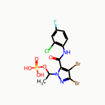 CC(OP(=O)(O)O)n1nc(Br)c(Br)c1C(=O)Nc1ccc(F)cc1Cl